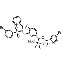 CCn1cc(COC(c2ccc(C)c(CN(Cc3ccccn3)S(=O)(=O)c3cccc(Br)c3)c2)C(C)(C)C(=O)O)nn1